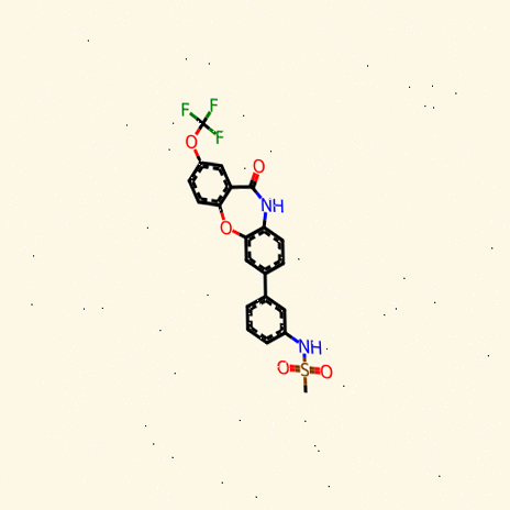 CS(=O)(=O)Nc1cccc(-c2ccc3c(c2)Oc2ccc(OC(F)(F)F)cc2C(=O)N3)c1